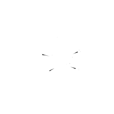 COC(=O)[C@H]1C[C@@H](N)[C@@H]2C[C@@H]21.Cl